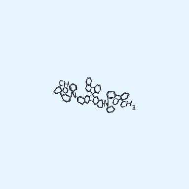 Cc1cccc2c1oc1c(N(c3ccccc3)c3ccc4cc5c(cc4c3)C3(c4cc6cc(N(c7ccccc7)c7cccc8c7oc7c(C)cccc78)ccc6cc4-5)c4ccccc4-c4c3ccc3ccccc43)cccc12